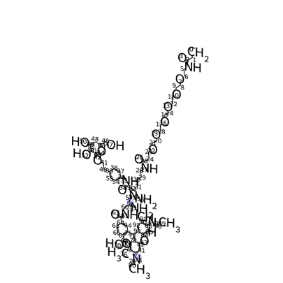 C=CC(=O)NCCOCCOCCOCCOCCOCCOCCC(=O)NCCCC[C@@H](C(=O)Nc1ccc(CCO[C@@H]2O[C@H](CO)C[C@H](O)[C@H]2O)cc1)N(N)/C=C(\N)CNC(=O)c1ccc(C(=O)O)c(-c2c3cc(C)/c(=N\CC)cc-3oc3cc(NCC)c(C)cc23)c1